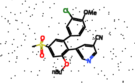 CCCCOc1cc(S(C)(=O)=O)cc(-c2ccc(OC)c(Cl)c2)c1-c1cncc(C#N)c1